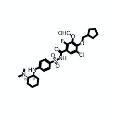 CN(C)[C@H]1CCCC[C@@H]1Nc1ccc(S(=O)(=O)NC(=O)c2cc(Cl)c(OCC3CCCC3)c(OC=O)c2F)cc1